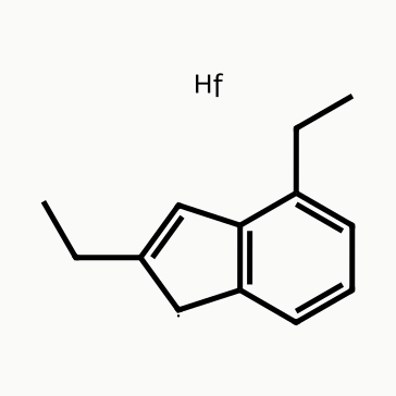 CCC1=Cc2c(cccc2CC)[CH]1.[Hf]